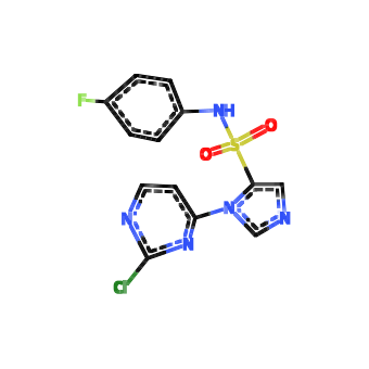 O=S(=O)(Nc1ccc(F)cc1)c1cncn1-c1ccnc(Cl)n1